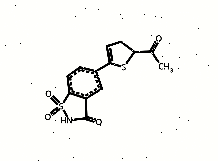 CC(=O)C1CC=C(c2ccc3c(c2)C(=O)NS3(=O)=O)S1